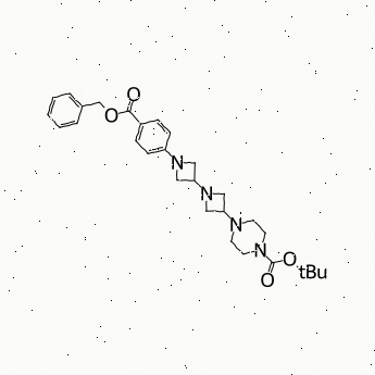 CC(C)(C)OC(=O)N1CCN(C2CN(C3CN(c4ccc(C(=O)OCc5ccccc5)cc4)C3)C2)CC1